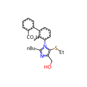 CCCCc1nc(CO)c(SCC)n1-c1cccc(-c2ccccc2C(=O)O)c1C